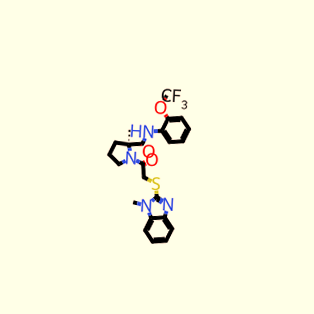 Cn1c(SCC(=O)N2CCC[C@@]2(C)C(=O)Nc2ccccc2OC(F)(F)F)nc2ccccc21